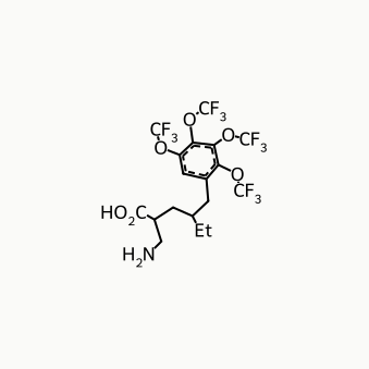 CCC(Cc1cc(OC(F)(F)F)c(OC(F)(F)F)c(OC(F)(F)F)c1OC(F)(F)F)CC(CN)C(=O)O